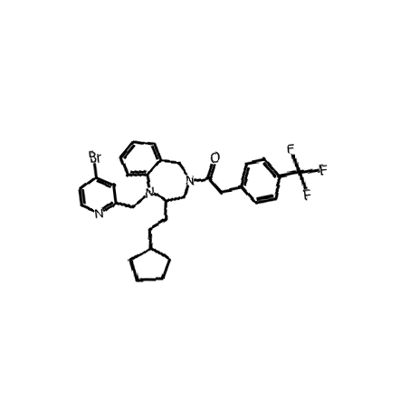 O=C(Cc1ccc(C(F)(F)F)cc1)N1Cc2ccccc2N(Cc2cc(Br)ccn2)C(CCC2CCCC2)C1